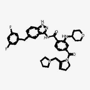 O=C(Nc1n[nH]c2ccc(Cc3cc(F)cc(F)c3)cc12)c1ccc(C(=O)N2CCC=C2CN2CCCC2)cc1NC1CCOCC1